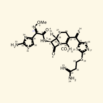 CO/N=C(\C(=O)N[C@@H]1C(=O)N2C(C(=O)O)=C(C(=S)c3nnc(SCCC(=N)N)s3)CS[C@@H]12)c1csc(N)n1